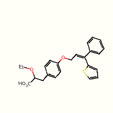 CCOC(Cc1ccc(OCC=C(c2ccccc2)c2cccs2)cc1)C(=O)O